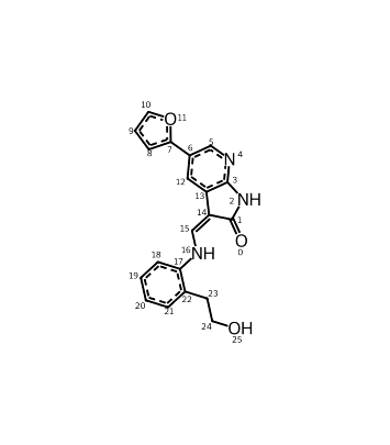 O=C1Nc2ncc(-c3ccco3)cc2C1=CNc1ccccc1CCO